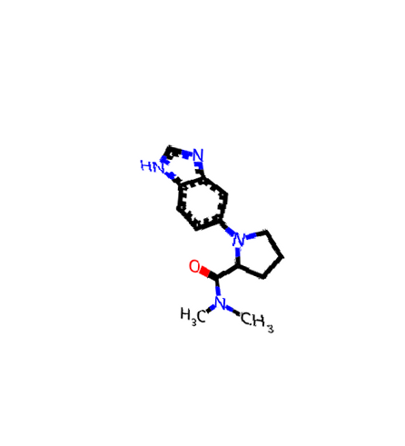 CN(C)C(=O)C1CCCN1c1ccc2[nH]cnc2c1